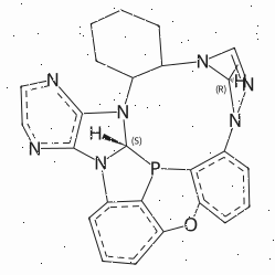 C[C@H]1N2N=CN1C1CCCCC1N1c3nccnc3N3c4cccc5c4P(c4c(cccc42)O5)[C@H]31